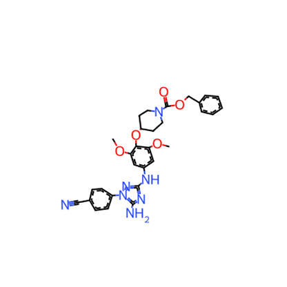 COc1cc(Nc2nc(N)n(-c3ccc(C#N)cc3)n2)cc(OC)c1OC1CCN(C(=O)OCc2ccccc2)CC1